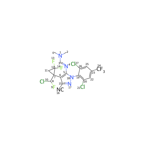 CN(C)C=Nc1c(C2(C(F)Cl)CC2(F)F)c(C#N)nn1-c1c(Cl)cc(C(F)(F)F)cc1Cl